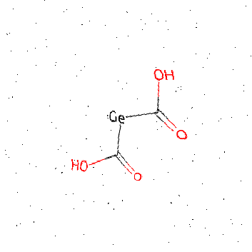 O=[C](O)[Ge][C](=O)O